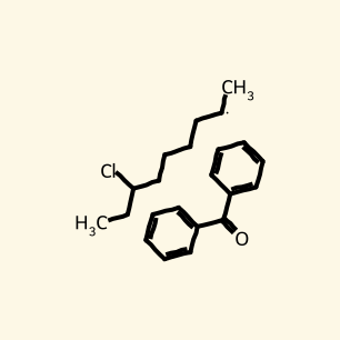 C[CH]CCCCC(Cl)CC.O=C(c1ccccc1)c1ccccc1